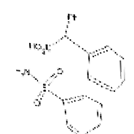 CCC(C(=O)O)c1ccccc1.NS(=O)(=O)c1ccccc1